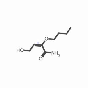 CCCCO/C(=C/CO)C(N)=O